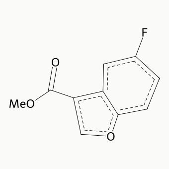 COC(=O)c1coc2ccc(F)cc12